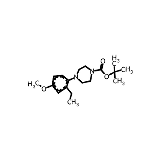 CCc1cc(OC)ccc1N1CCN(C(=O)OC(C)(C)C)CC1